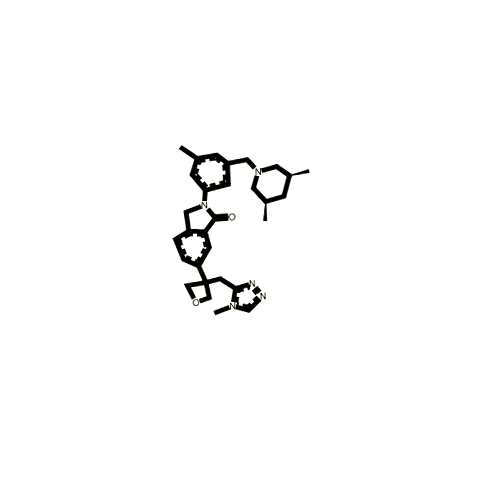 Cc1cc(CN2C[C@H](C)C[C@H](C)C2)cc(N2Cc3ccc(C4(Cc5nncn5C)COC4)cc3C2=O)c1